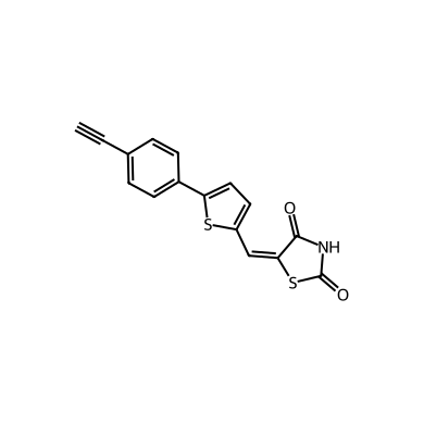 C#Cc1ccc(-c2ccc(/C=C3/SC(=O)NC3=O)s2)cc1